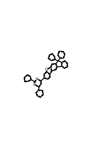 c1ccc(-c2cc(-c3ccc4c(c3)oc3cc5c(cc34)-c3ccccc3C5(c3ccccc3)c3ccccc3)nc(-c3ccccc3)n2)cc1